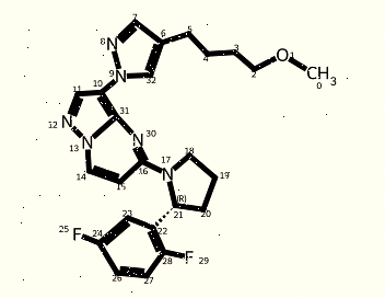 COCCCCc1cnn(-c2cnn3ccc(N4CCC[C@@H]4c4cc(F)ccc4F)nc23)c1